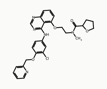 CN(CCOc1cccc2ncnc(Nc3ccc(OCc4ccccn4)c(Cl)c3)c12)C(=O)C1CCCO1